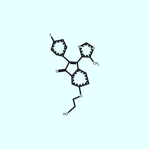 Cc1scnc1C1=C(c2ccc(F)cc2)C(=O)c2cc(OCCO)ccc21